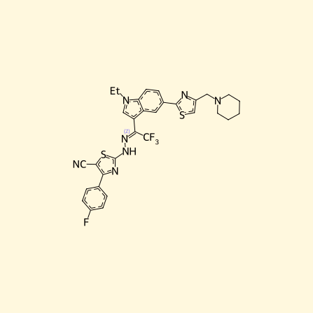 CCn1cc(/C(=N/Nc2nc(-c3ccc(F)cc3)c(C#N)s2)C(F)(F)F)c2cc(-c3nc(CN4CCCCC4)cs3)ccc21